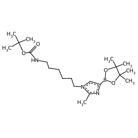 Cc1nc(B2OC(C)(C)C(C)(C)O2)cn1CCCCCCNC(=O)OC(C)(C)C